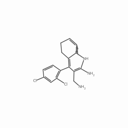 NCC1=C(N)NC23C=CC=CC2=CCCC3=C1c1ccc(Cl)cc1Cl